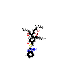 CNC(=O)CCC(CC(CC(CSc1nc2ccccc2[nH]1)C(=O)NC)C(=O)NC)C(=O)NC